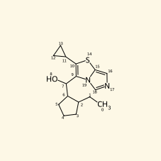 CCC1CCCC1C(O)c1c(C2CC2)sc2cncn12